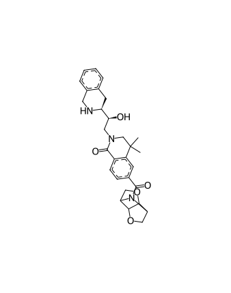 CC1(C)CN(C[C@H](O)[C@@H]2Cc3ccccc3CN2)C(=O)c2ccc(C(=O)N3C4COC5C4OCC53)cc21